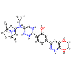 Oc1cc(-c2cc3c(nn2)OCCO3)ccc1-c1ncc(N(C2CC2)[C@@H]2C[C@H]3CC[C@@H](C2)N3)nn1